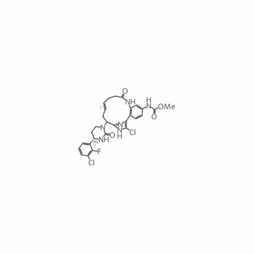 COC(=O)Nc1ccc2c(c1)NC(=O)CC/C=C/CC(N1CC[C@H](c3cccc(Cl)c3F)NC1=O)c1nc-2c(Cl)[nH]1